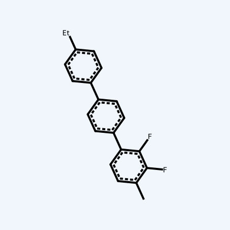 CCc1ccc(-c2ccc(-c3ccc(C)c(F)c3F)cc2)cc1